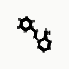 N=C1C=CC=C[C@@H]1C=Cc1ccccc1